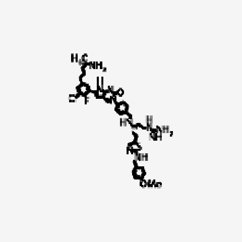 COc1ccc(CNc2ncc(CC[C@@H](CCNC(=N)N)NCc3ccc(-n4cc5cc(-c6cc(CCC[C@H](C)N)cc(Cl)c6F)[nH]c5nc4=O)cc3)s2)cc1